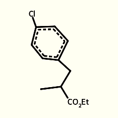 CCOC(=O)C(C)Cc1ccc(Cl)cc1